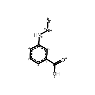 O=C(O)c1cccc(NNBr)c1